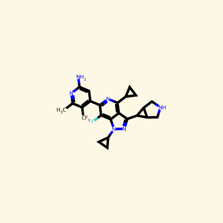 Cc1nc(N)cc(-c2nc(C3CC3)c3c(C4C5CNCC54)nn(C4CC4)c3c2F)c1C(F)(F)F